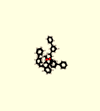 c1ccc(-c2cccc(-c3cc(-c4cccc(-c5ccccc5)c4)nc(-n4c5ccccc5c5ccc6cc7c8ccccc8c8ccccc8n7c6c54)c3)c2)cc1